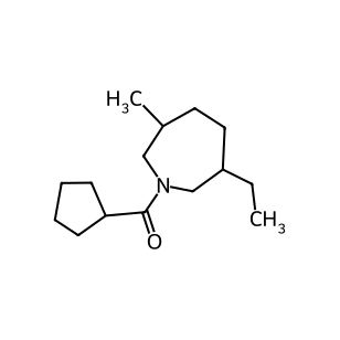 CCC1CCC(C)CN(C(=O)C2CCCC2)C1